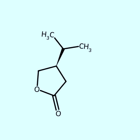 CC(C)[C@@H]1COC(=O)C1